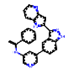 C=C(Nc1cncc(-c2ccc3[nH]nc(-c4cc5ncccc5[nH]4)c3c2)c1)c1ccccc1